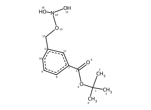 CC(C)(C)OC(=O)c1cccc(CON(O)O)c1